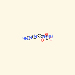 O=C1CCN(N2Cc3ccc(N4CCC(N5CCNCC5)CC4)cc3C2=O)C(=O)N1